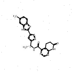 C[C@@H](NC(=O)c1ncnc2c1CCC(=O)N2)c1cc(-c2nc3ccc(C(F)(F)F)cc3[nH]2)sn1